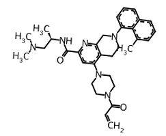 C=CC(=O)N1CCN(c2cc(C(=O)N[C@H](C)CN(C)C)nc3c2CCN(c2cccc4cccc(C)c24)C3)CC1